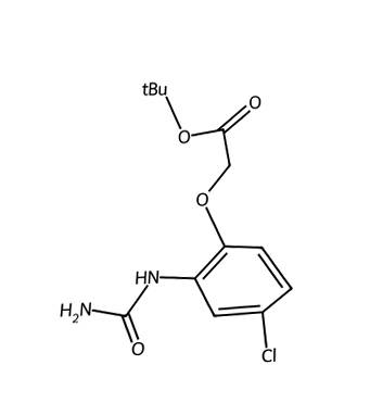 CC(C)(C)OC(=O)COc1ccc(Cl)cc1NC(N)=O